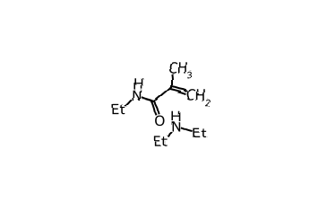 C=C(C)C(=O)NCC.CCNCC